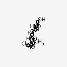 Cc1cc(=O)n(-c2cc(Cl)ccc2F)nc1C(=O)Nc1ccc(Oc2ccnc(NC(=O)N3CCC(O)C3)c2)c(F)c1